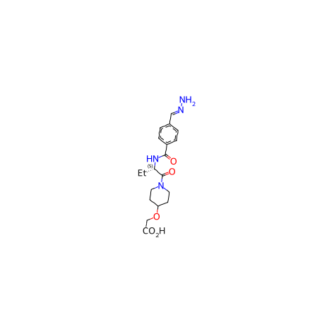 CC[C@H](NC(=O)c1ccc(C=NN)cc1)C(=O)N1CCC(OCC(=O)O)CC1